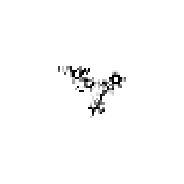 COC1C(O)[C@@H](COP(=O)(NCCOC(=O)C(C)C)Oc2ccccc2)O[C@H]1n1ccc(N)nc1=O